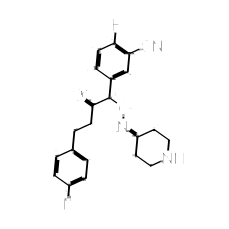 N#Cc1cc(C(ON=C2CCNCC2)C(=O)CCc2ccc(F)cc2)ccc1F